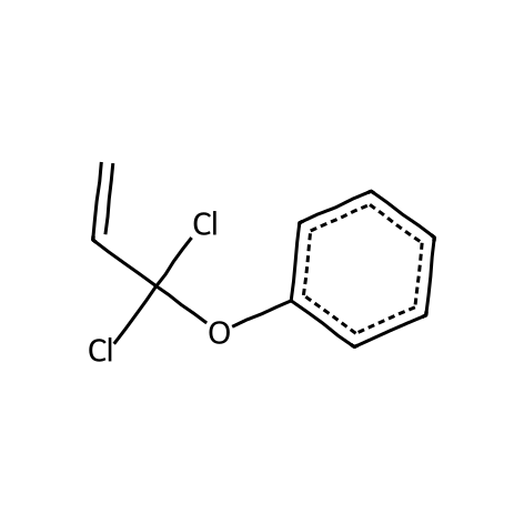 C=CC(Cl)(Cl)Oc1ccccc1